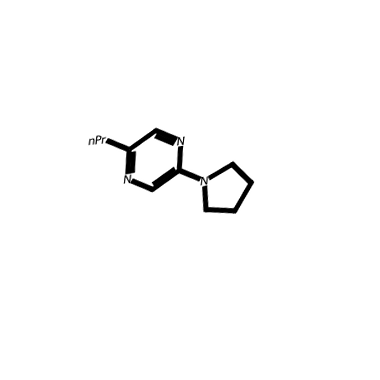 CCCc1cnc(N2CCCC2)cn1